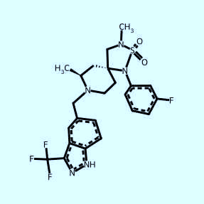 C[C@H]1C[C@]2(CCN1Cc1ccc3[nH]nc(C(F)(F)F)c3c1)CN(C)S(=O)(=O)N2c1cccc(F)c1